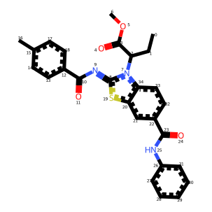 CCC(C(=O)OC)n1c(=NC(=O)c2ccc(C)cc2)sc2cc(C(=O)Nc3ccccc3)ccc21